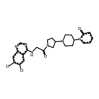 O=C(CNc1ncnc2cc(Cl)c(Cl)cc12)N1CCC(N2CCC(n3ccccc3=O)CC2)C1